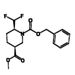 COC(=O)[C@H]1CC[C@@H](C(F)F)N(C(=O)OCc2ccccc2)C1